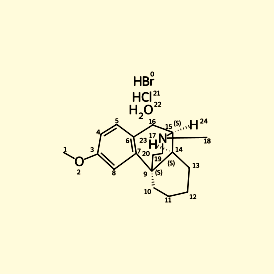 Br.COc1ccc2c(c1)[C@]13CCCC[C@@H]1[C@H](C2)N(C)CC3.Cl.O